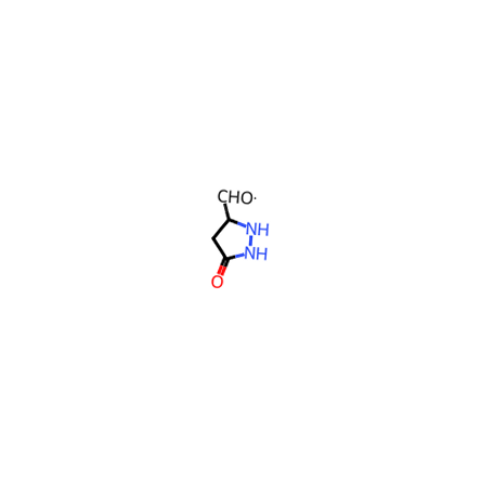 O=[C]C1CC(=O)NN1